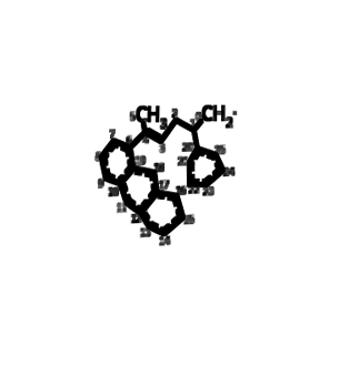 [CH2]C(CC=C(C)c1cccc2cc3ccccc3cc12)c1ccccc1